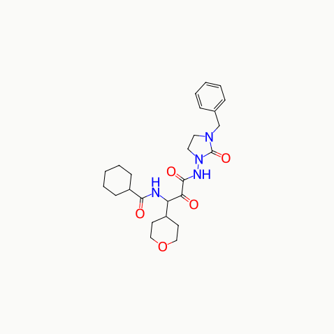 O=C(NN1CCN(Cc2ccccc2)C1=O)C(=O)C(NC(=O)C1CCCCC1)C1CCOCC1